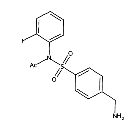 CC(=O)N(c1ccccc1I)S(=O)(=O)c1ccc(CN)cc1